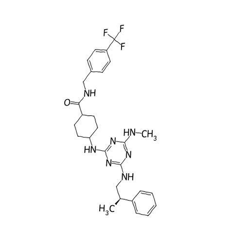 CNc1nc(NC[C@H](C)c2ccccc2)nc(NC2CCC(C(=O)NCc3ccc(C(F)(F)F)cc3)CC2)n1